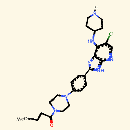 CCN1CCC(Nc2c(Cl)cnc3[nH]c(-c4ccc(N5CCN(C(=O)CCOC)CC5)cc4)nc23)CC1